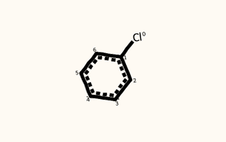 Clc1c[c][c]cc1